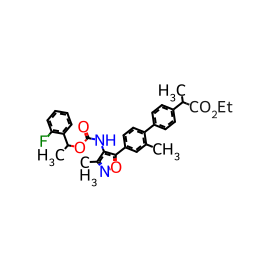 CCOC(=O)C(C)c1ccc(-c2ccc(-c3onc(C)c3NC(=O)OC(C)c3ccccc3F)cc2C)cc1